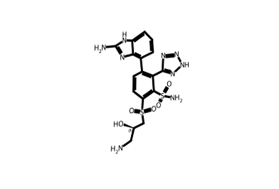 NC[C@@H](O)CS(=O)(=O)c1ccc(-c2cccc3[nH]c(N)nc23)c(-c2nn[nH]n2)c1S(N)(=O)=O